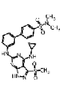 CN(C)S(=O)(=O)c1ccc(-c2cccc(Nc3nc(NC4CC4)c4c(S(C)(=O)=O)n[nH]c4n3)c2)cc1